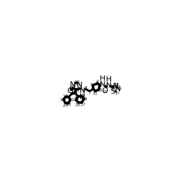 O=C(Nc1ccc(CCNc2ncnc3oc(-c4ccccc4)c(-c4ccccc4)c23)cc1)Nc1nncs1